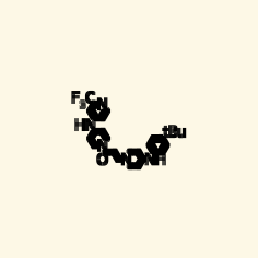 CC(C)(C)c1ccc(NC2CCN(CCC(=O)N3CCC(Nc4ccnc(C(F)(F)F)c4)CC3)CC2)cc1